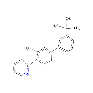 Cc1cc(-c2cccc(C(C)(C)C)c2)ccc1-c1ccccn1